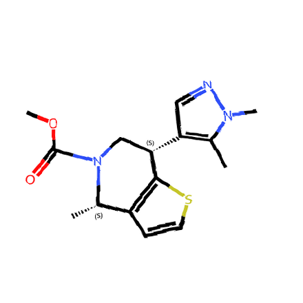 COC(=O)N1C[C@H](c2cnn(C)c2C)c2sccc2[C@@H]1C